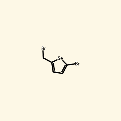 BrCc1ccc(Br)[se]1